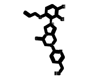 C=CCOc1ccc(Cl)c(Cl)c1[C@H]1C=C2CN(c3ccc(CO)cn3)CC(=O)N2C1